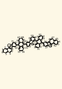 c1ccc2c(c1)ccc1c3cc(-c4c5ccccc5c(-c5ccc6sc7c(-c8c9ccccc9c(-c9ccc%10oc%11c%12ccccc%12ccc%11c%10c9)c9ccccc89)cccc7c6c5)c5ccccc45)ccc3oc21